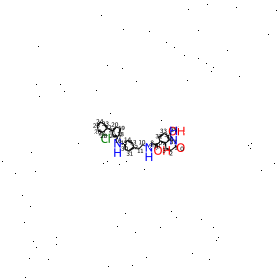 O=c1ccc2c([C@@H](O)CNCCc3ccc(Nc4cccc(-c5ccccc5Cl)c4)cc3)ccc(O)c2[nH]1